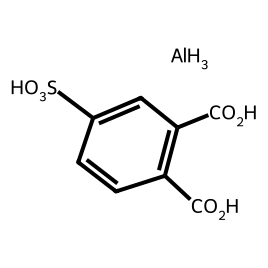 O=C(O)c1ccc(S(=O)(=O)O)cc1C(=O)O.[AlH3]